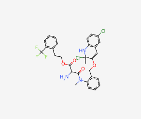 CN(C(=O)C(N)C(=O)OCCc1ccccc1C(F)(F)F)c1ccccc1COC1=Cc2cc(Cl)ccc2NC1(C)Cl